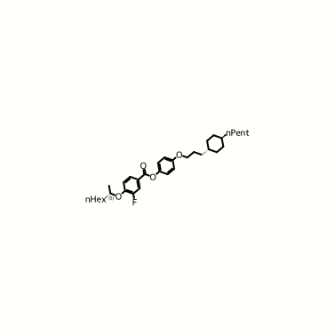 CCCCCC[C@H](C)Oc1ccc(C(=O)Oc2ccc(OCCC[C@H]3CC[C@H](CCCCC)CC3)cc2)cc1F